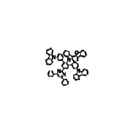 c1ccc(-c2cc(-c3ccccc3)nc(-c3cc(-c4cccc(-n5c6ccccc6c6ccccc65)c4)c(-n4c5ccccc5c5c6oc7ccccc7c6ccc54)c(-c4cccc(-n5c6ccccc6c6ccccc65)c4)c3)n2)cc1